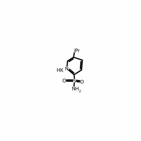 CC(C)c1ccc(S(N)(=O)=O)nc1.[KH]